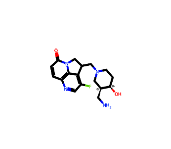 NC[C@H]1CN(CC2Cn3c(=O)ccc4ncc(F)c2c43)CC[C@H]1O